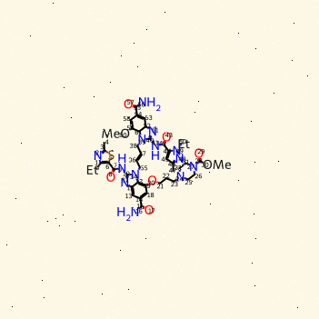 CCc1nc(C)sc1C(=O)Nc1nc2cc(C(N)=O)cc(OCCCN3CCN(C(=O)OC)CC3)c2n1C/C=C/CN1C(NC(=O)c2cc(C)nn2CC)=NC2C=C(C(N)=O)C=C(OC)C21